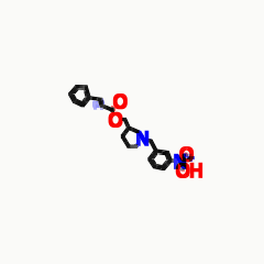 O=C(/C=C/c1ccccc1)OCC1CCCN(Cc2cccc([N+](=O)O)c2)C1